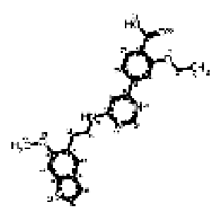 CCOc1cc(-c2cc(NCCc3cc4ccsc4cc3OC)ncn2)ccc1C(=O)O